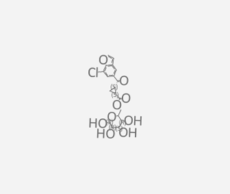 O=C(OCC1O[C@H](O)[C@H](O)[C@@H](O)[C@H]1O)[C@H]1C[C@@H]1C(=O)c1cc(Cl)c2occc2c1